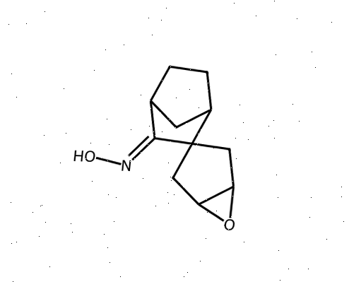 ON=C1C2CCC(C2)C12CC1OC1C2